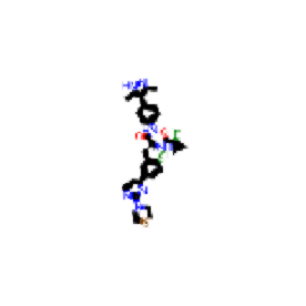 Cc1n[nH]c(C)c1-c1ccc(NC(=O)[C@H](Cc2cc(-c3ccnc(N4CCSCC4)n3)ccc2Cl)NC(=O)C2(F)CC2)cc1